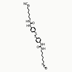 N#COCCCCCCNC(=O)Nc1ccc(SSc2ccc(NC(=O)NCCCCCCN=C=O)cc2)cc1